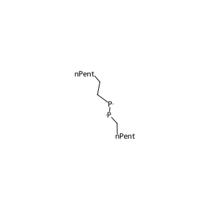 CCCCCCC[P][P]CCCCCC